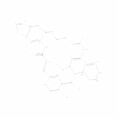 CC(CCCNc1cc2c(cc1NC(=O)/C=C/c1ccc(O)c(CO)c1)OCO2)Nc1cc(CO)cc2cccnc12